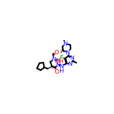 Cc1nc(NNC(=O)[C@@H](CC2CCCC2)CN(O)C=O)c(F)c(N2CCN(C)C[C@H]2C)n1